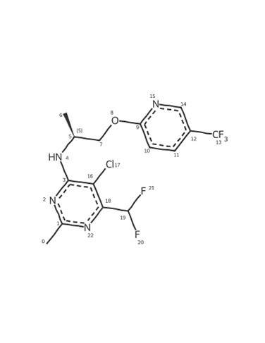 Cc1nc(N[C@@H](C)COc2ccc(C(F)(F)F)cn2)c(Cl)c(C(F)F)n1